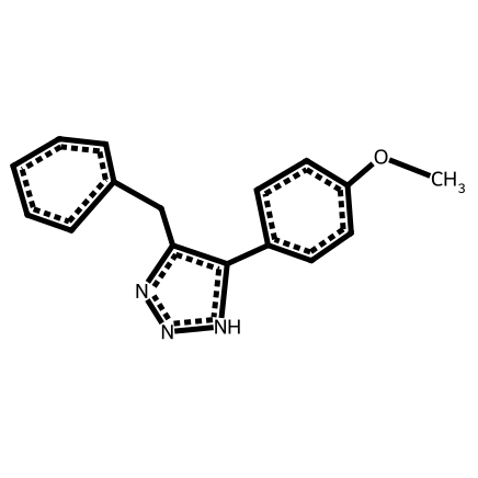 COc1ccc(-c2[nH]nnc2Cc2ccccc2)cc1